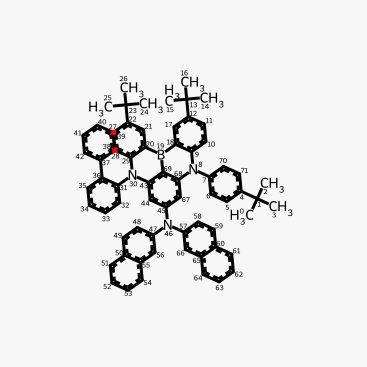 CC(C)(C)c1ccc(N2c3ccc(C(C)(C)C)cc3B3c4cc(C(C)(C)C)ccc4N(c4ccccc4-c4ccccc4)c4cc(N(c5ccc6ccccc6c5)c5ccc6ccccc6c5)cc2c43)cc1